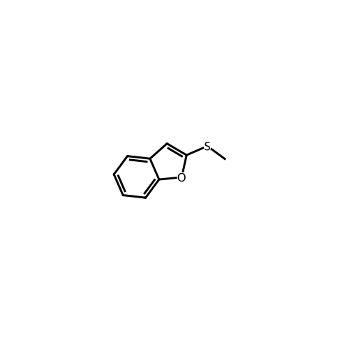 CSc1cc2ccccc2o1